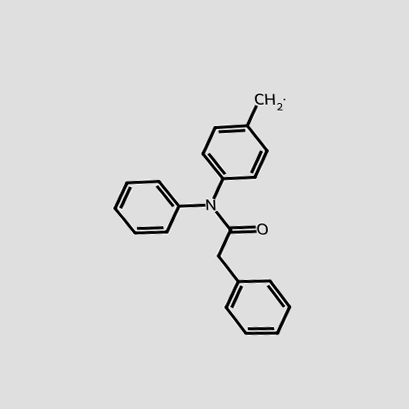 [CH2]c1ccc(N(C(=O)Cc2ccccc2)c2ccccc2)cc1